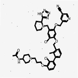 CC(=O)NC1CCN(CCCOc2cccc(-c3cccc(COc4cc(OCc5cncc(C#N)c5)c(CN5CCCCC5c5nnn[nH]5)cc4Cl)c3C)c2Cl)CC1